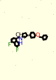 C[C@@H](N[C@H]1CC[C@@H](c2ccc(OCc3ccccc3)cc2)C1)c1ccc(F)c2cc(F)ccc12